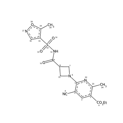 CCOC(=O)c1cc(C#N)c(N2CC(C(=O)NS(=O)(=O)c3cnoc3C)C2)nc1C